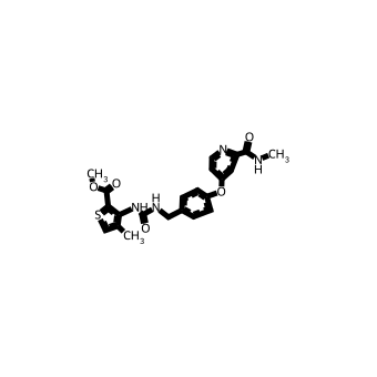 CNC(=O)c1cc(Oc2ccc(CNC(=O)Nc3c(C)csc3C(=O)OC)cc2)ccn1